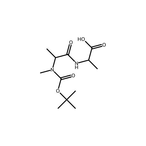 CC(NC(=O)C(C)N(C)C(=O)OC(C)(C)C)C(=O)O